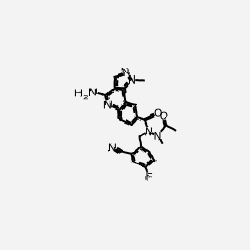 CC(=O)N(C)N(Cc1ccc(F)cc1C#N)C(=O)c1ccc2nc(N)c3cnn(C)c3c2c1